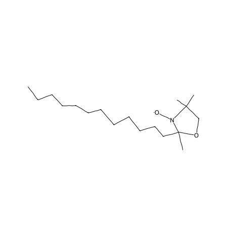 CCCCCCCCCCCCC1(C)OCC(C)(C)N1[O]